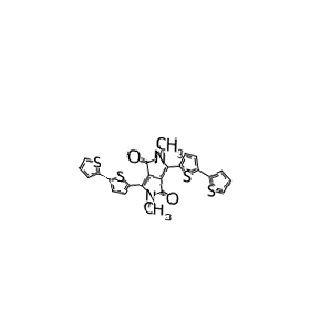 CN1C(=O)C2=C(c3ccc(-c4cccs4)s3)N(C)C(=O)C2=C1c1ccc(-c2cccs2)s1